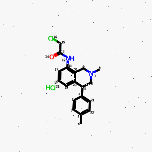 Cc1ccc(C2CN(C)Cc3c(NC(=O)CCl)cccc32)cc1.Cl